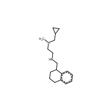 CN(CCNCC1CCCc2ccccc21)CC1CC1